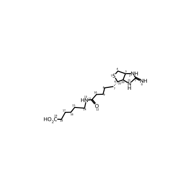 N=C1NC2CS[C@@H](CCCCC(=O)NCCCCCC(=O)O)C2N1